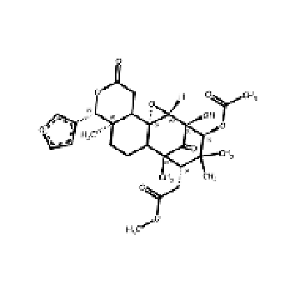 COC(=O)C[C@H]1C(C)(C)[C@H](OC(C)=O)[C@]2(O)C(=O)[C@@]1(C)C1CC[C@]3(C)C(CC(=O)O[C@H]3c3ccoc3)[C@]13O[C@@H]32